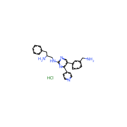 Cl.NCc1cccc(-c2cnc(NC[C@@H](N)Cc3ccccc3)nc2-c2ccncc2)c1